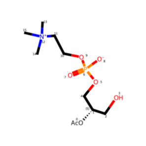 CC(=O)O[C@@H](CO)COP(=O)([O-])OCC[N+](C)(C)C